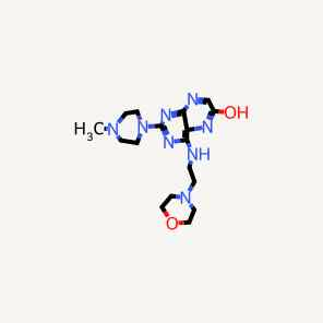 CN1CCN(c2nc(NCCN3CCOCC3)c3nc(O)cnc3n2)CC1